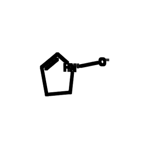 [O-][NH+]1C=CCC1